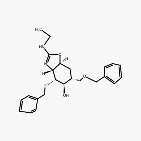 CCNC1=N[C@H]2[C@@H](OCc3ccccc3)[C@H](O)[C@@H](COCc3ccccc3)C[C@@H]2O1